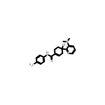 CN(C)c1cccnc1C1(C(F)(F)F)CC=C(C(=O)Nc2ccc(C(F)(F)F)cc2)CC1